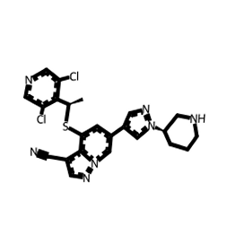 C[C@@H](Sc1cc(-c2cnn([C@@H]3CCCNC3)c2)cn2ncc(C#N)c12)c1c(Cl)cncc1Cl